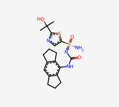 CC(C)(O)c1ncc([S@@](N)(=O)=NC(=O)Nc2c3c(cc4c2CCC4)CCC3)s1